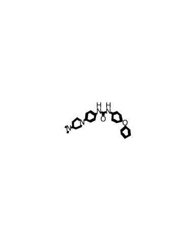 CN(C)C1CCN(c2ccc(NC(=O)Nc3ccc(Oc4ccccc4)cc3)cc2)CC1